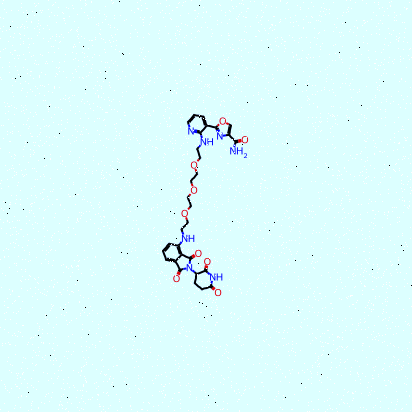 NC(=O)c1coc(-c2cccnc2NCCOCCOCCOCCNc2cccc3c2C(=O)N(C2CCC(=O)NC2=O)C3=O)n1